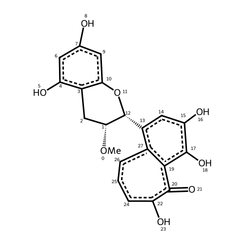 CO[C@@H]1Cc2c(O)cc(O)cc2O[C@@H]1c1cc(O)c(O)c2c(=O)c(O)cccc12